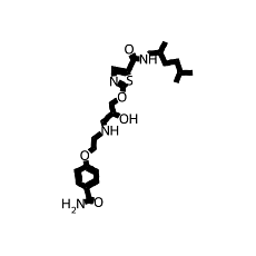 CC(C)CCC(C)CNC(=O)c1cnc(OCC(O)CNCCOc2ccc(C(N)=O)cc2)s1